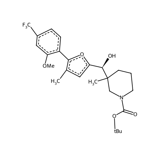 COc1cc(C(F)(F)F)ccc1-c1oc([C@@H](O)C2(C)CCCN(C(=O)OC(C)(C)C)C2)cc1C